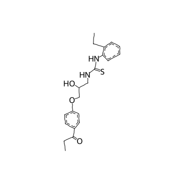 CCC(=O)c1ccc(OCC(O)CNC(=S)Nc2ccccc2CC)cc1